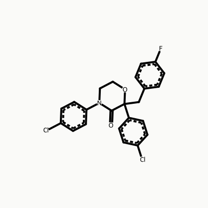 O=C1N(c2ccc(Cl)cc2)CCOC1(Cc1ccc(F)cc1)c1ccc(Cl)cc1